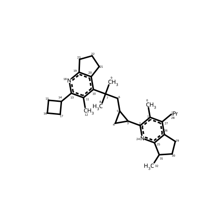 Cc1c(C2CC2CC(C)(C)c2c(C)c(C3CCC3)nc3c2CCC3)nc2c(c1C(C)C)CCC2C